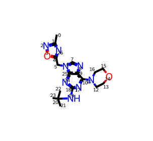 Cc1noc(Cn2cnc3c(N4CCOCC4)nc(NC(C)(C)C)nc32)n1